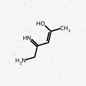 C/C(O)=C/C(=N)CN